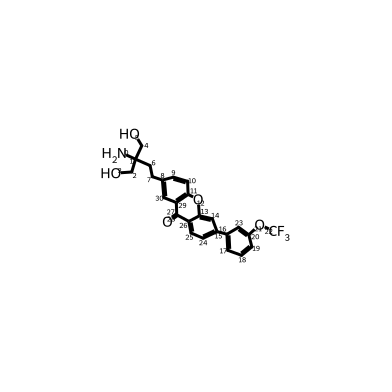 NC(CO)(CO)CCc1ccc2oc3cc(-c4cccc(OC(F)(F)F)c4)ccc3c(=O)c2c1